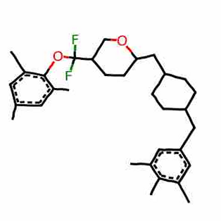 Cc1cc(C)c(OC(F)(F)C2CCC(CC3CCC(Cc4cc(C)c(C)c(C)c4)CC3)OC2)c(C)c1